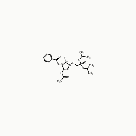 CC(=O)OC1O[C@H](OCP(=O)(OC(C)C)OC(C)C)[C@@H](F)[C@H]1OC(=O)c1ccccc1